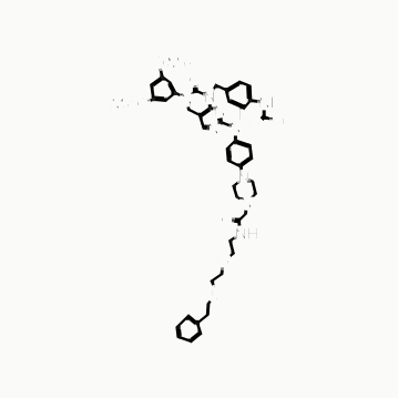 CCC(=O)Nc1ccc(CN2C(=O)N(c3cc(OC)cc(OC)c3)Cc3cnc(Nc4ccc(N5CCN(CC(=O)NCCOCCOCCc6ccccc6)CC5)cc4)nc32)cc1